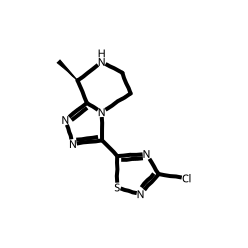 C[C@H]1NCCn2c(-c3nc(Cl)ns3)nnc21